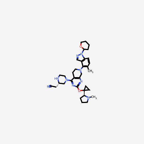 Cc1ccc2c(cnn2C2CCCCO2)c1N1CCc2c(nc(OC3([C@@H]4CCCN4C)CC3)nc2N2CCN[C@@H](CC#N)C2)C1